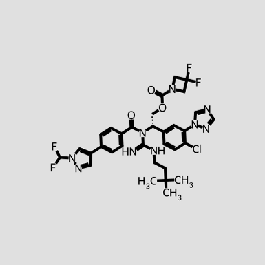 CC(C)(C)CCNC(=N)N(C(=O)c1ccc(-c2cnn(C(F)F)c2)cc1)[C@H](COC(=O)N1CC(F)(F)C1)c1ccc(Cl)c(-n2cncn2)c1